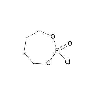 O=P1(Cl)OCCCCO1